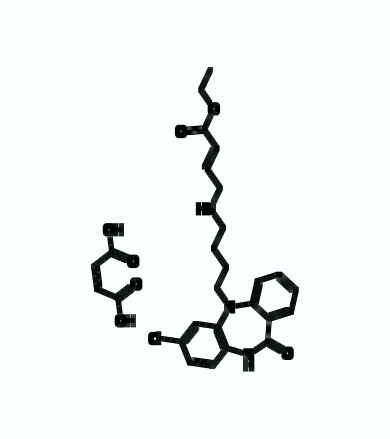 CCOC(=O)/C=C/CNCCCCN1c2cc(Cl)ccc2NC(=O)c2ccccc21.O=C(O)/C=C\C(=O)O